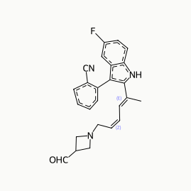 C/C(=C\C=C/CN1CC(C=O)C1)c1[nH]c2ccc(F)cc2c1-c1ccccc1C#N